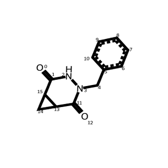 O=C1NN(Cc2ccccc2)C(=O)C2CC12